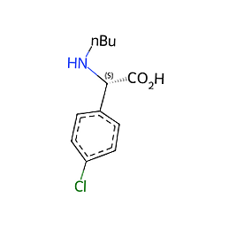 CCCCN[C@H](C(=O)O)c1ccc(Cl)cc1